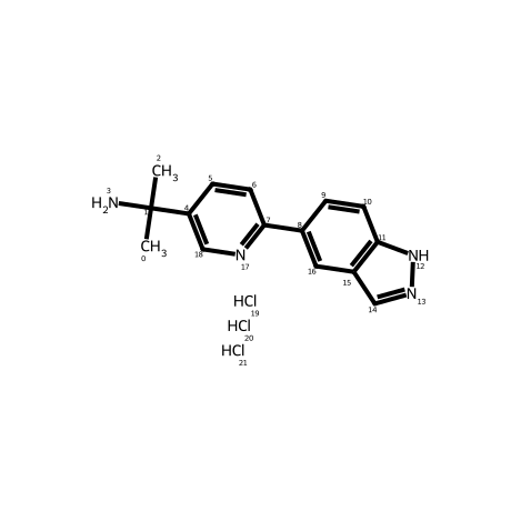 CC(C)(N)c1ccc(-c2ccc3[nH]ncc3c2)nc1.Cl.Cl.Cl